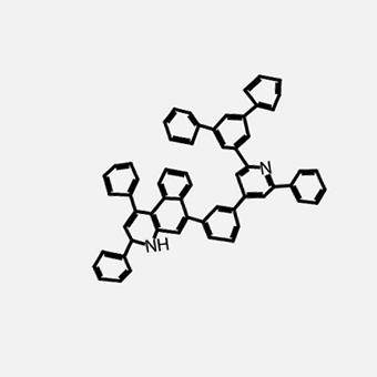 C1=C(c2ccccc2)c2c(cc(-c3cccc(-c4cc(-c5ccccc5)nc(-c5cc(-c6ccccc6)cc(-c6ccccc6)c5)c4)c3)c3ccccc23)NC1c1ccccc1